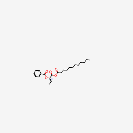 C/C=C(\OC(=O)c1ccccc1)C(=O)OC(=O)CCCCCCCCCCC